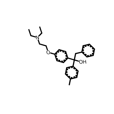 CCN(CC)CCOc1ccc(C(O)(Cc2ccccc2)c2ccc(C)cc2)cc1